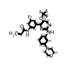 C=CC(=O)Nc1cc(F)cc(-c2nc(Nc3cccc(N4CCOCC4)c3)ncc2OC(F)(F)F)c1